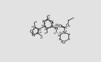 CCOC(=O)N1CCOC[C@@H]1CNc1nc(C)nc(-c2c(C)noc2C)c1C